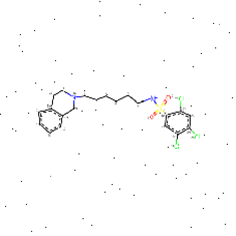 O=S(=O)(NCCCCCCN1CCc2ccccc2C1)c1cc(Cl)c(Cl)cc1Cl